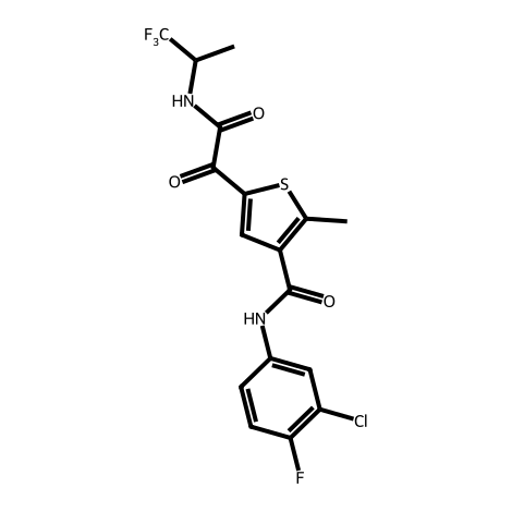 Cc1sc(C(=O)C(=O)NC(C)C(F)(F)F)cc1C(=O)Nc1ccc(F)c(Cl)c1